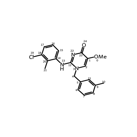 COc1cn(Cc2cccc(C)c2)c(Nc2cccc(Cl)c2C)nc1=O